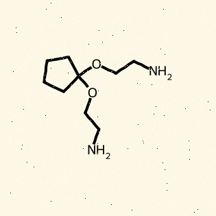 NCCOC1(OCCN)CCCC1